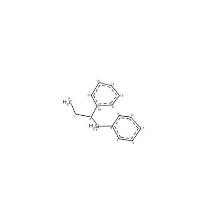 CCC([SiH2]c1ccccc1)c1ccccc1